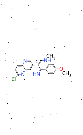 CN/C=C(\C(=N)c1ccc(OC)cc1)c1cnc2ccc(Cl)nc2c1